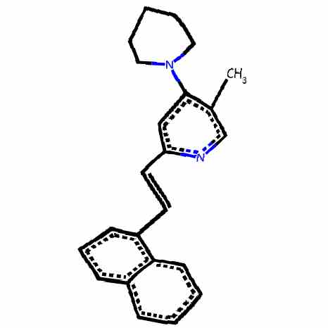 Cc1cnc(C=Cc2cccc3ccccc23)cc1N1CCCCC1